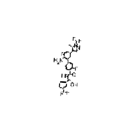 Cc1c(-c2cnc(N)c(-c3ccc(C(=O)N[C@H](CO)c4cccc(C(F)F)c4)c(F)c3)c2)cnn1C(F)F